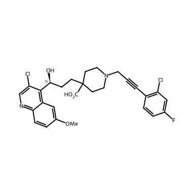 COc1ccc2ncc(Cl)c([C@@H](O)CCC3(C(=O)O)CCN(CC#Cc4ccc(F)cc4Cl)CC3)c2c1